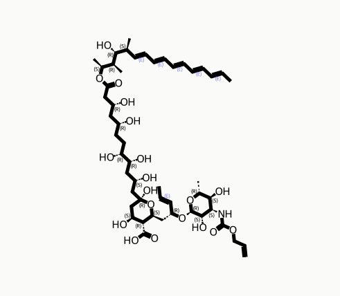 C=CCOC(=O)N[C@@H]1[C@H](O)[C@H](O[C@@H](/C=C/C)C[C@@H]2O[C@](O)(C[C@@H](O)C[C@@H](O)[C@H](O)CC[C@@H](O)C[C@@H](O)CC(=O)O[C@@H](C)[C@H](C)[C@H](O)[C@@H](C)/C=C/C=C/C=C/C=C/C=C/C)C[C@H](O)[C@H]2C(=O)O)O[C@H](C)[C@H]1O